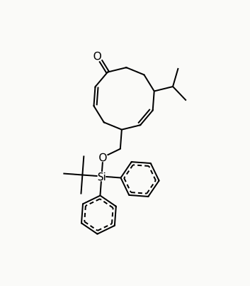 CC(C)C1/C=C\C(CO[Si](c2ccccc2)(c2ccccc2)C(C)(C)C)C/C=C\C(=O)CC1